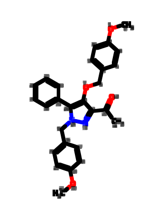 COc1ccc(COc2c(C(C)=O)nn(Cc3ccc(OC)cc3)c2-c2ccccc2)cc1